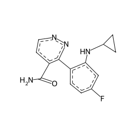 NC(=O)c1ccnnc1-c1ccc(F)cc1NC1CC1